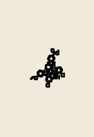 CCOc1cccc(CN2[C@H]3CCn4c(nc5cc(C(=O)OC)ccc54)[C@H]3[C@H](c3cccc(Cl)c3F)[C@]23C(=O)Nc2cc(Cl)ccc23)c1